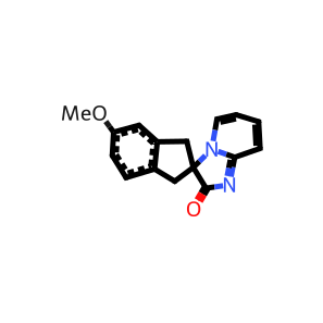 COc1ccc2c(c1)CC1(C2)C(=O)N=C2C=CC=CN21